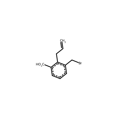 C=CCc1c(CBr)cccc1C(=O)O